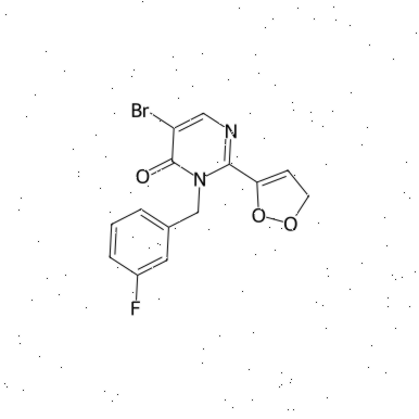 O=c1c(Br)cnc(C2=CCOO2)n1Cc1cccc(F)c1